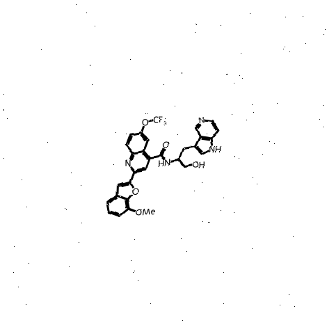 COc1cccc2cc(-c3cc(C(=O)NC(CO)Cc4c[nH]c5ccncc45)c4cc(OC(F)(F)F)ccc4n3)oc12